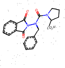 O=C(O)C1CCCN1C(=O)N(Cc1ccccc1)N1C(=O)c2ccccc2C1=O